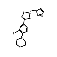 Fc1cc(C2=NO[C@H](Cn3ccnn3)C2)ccc1N1CCOCC1